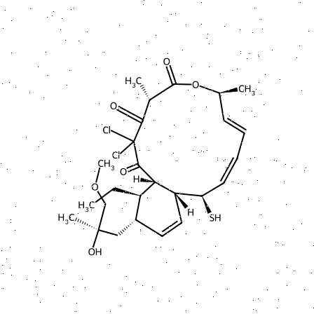 CC[C@H]1[C@@H]2C(=O)C(Cl)(Cl)C(=O)[C@H](C)C(=O)O[C@@H](C)/C=C/C=C\[C@@H](S)[C@@H]2C=C[C@@H]1C[C@@](C)(O)COC